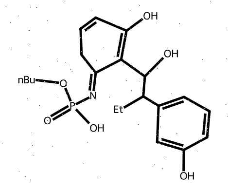 CCCCOP(=O)(O)N=C1CC=CC(O)=C1C(O)C(CC)c1cccc(O)c1